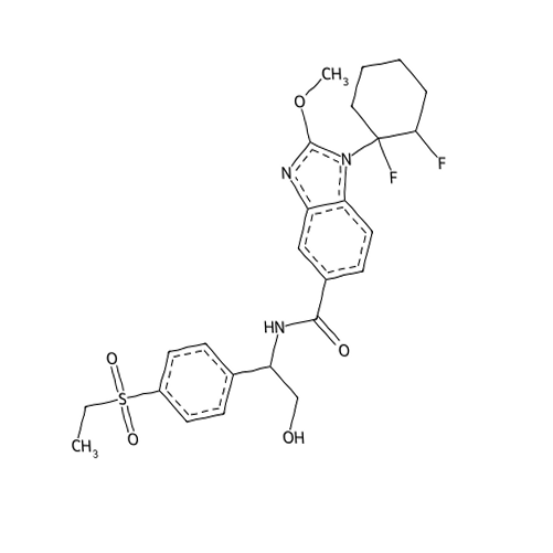 CCS(=O)(=O)c1ccc(C(CO)NC(=O)c2ccc3c(c2)nc(OC)n3C2(F)CCCCC2F)cc1